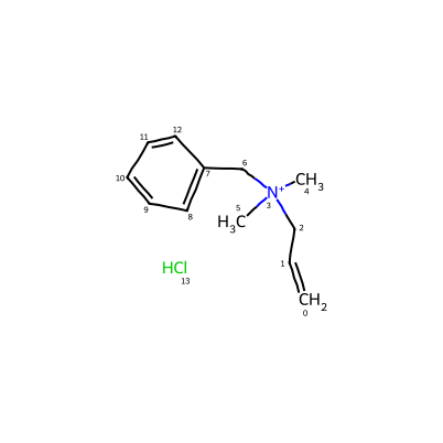 C=CC[N+](C)(C)Cc1ccccc1.Cl